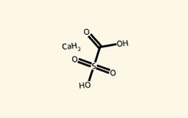 O=C(O)S(=O)(=O)O.[CaH2]